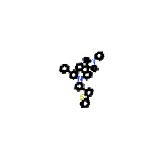 c1ccc(-c2ccc(N(c3cccc(-c4cccc5c4sc4ccccc45)c3)c3cccc4c3-c3ccccc3C43c4ccccc4N(c4ccccc4)c4ccccc43)cc2)cc1